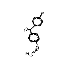 COc1ccc(C(=O)c2ccc(F)cc2)cc1